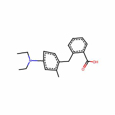 CCN(CC)c1ccc(Cc2ccccc2C(=O)O)c(C)c1